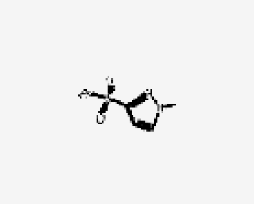 CC(C)S(=O)(=O)c1ccn(C)n1